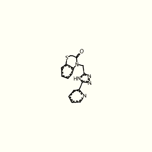 O=C1CSc2ccccc2N1Cc1nnc(-c2ccccn2)[nH]1